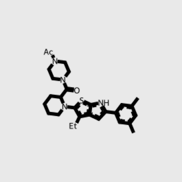 CCc1c(N2CCCCC2C(=O)N2CCN(C(C)=O)CC2)sc2[nH]c(-c3cc(C)cc(C)c3)cc12